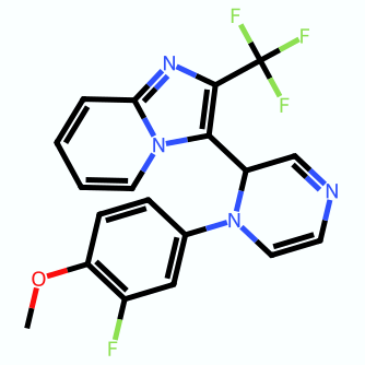 COc1ccc(N2C=CN=CC2c2c(C(F)(F)F)nc3ccccn23)cc1F